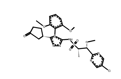 COc1cccc(OC)c1-n1c(NS(=O)(=O)[C@@H](C)[C@H](OC)c2ncc(Cl)cn2)nnc1[C@H]1CCC(=O)C1